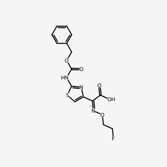 O=C(Nc1nc(/C(=N/OCCF)C(=O)O)cs1)OCc1ccccc1